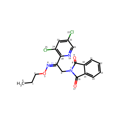 CCCO/N=C(\CN1C(=O)c2ccccc2C1=O)c1ncc(Cl)cc1Cl